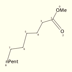 [CH2]OC(=O)CCCCCCCCCC